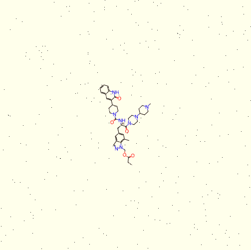 CCC(=O)OCn1ncc2cc(C[C@@H](NC(=O)N3CCC(c4cc5ccccc5[nH]c4=O)CC3)C(=O)N3CCN(C4CCN(C)CC4)CC3)cc(C)c21